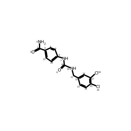 NC(=O)c1ccc(NC(=O)NCc2ccc(Cl)c(Cl)c2)cc1